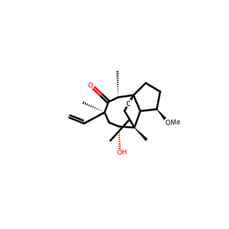 C=C[C@]1(C)C[C@@H](O)[C@]2(C)C(C)CC[C@]3(CC[C@@H](OC)C32)[C@@H](C)C1=O